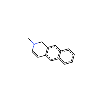 CN1C=Cc2cc3ccccc3cc2C1